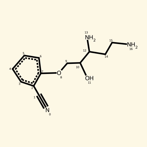 N#Cc1ccccc1OCC(O)C(N)CCN